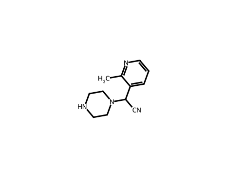 Cc1ncccc1C(C#N)N1CCNCC1